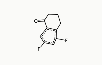 O=C1CCCc2c(F)cc(F)cc21